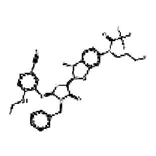 CCNc1ccc(C#N)cc1N=C1SC(=C2Sc3cc(N(CCCF)C(=O)C(F)(F)F)ccc3N2C)C(=O)N1Cc1ccccc1